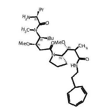 CCC(C)[C@@H]([C@@H](CC(=O)N1CCC[C@H]1[C@H](OC)C(C)C(=O)NCCC1C=CC=CC=C1)OC)N(C)C(=O)[C@@H](N)C(C)C